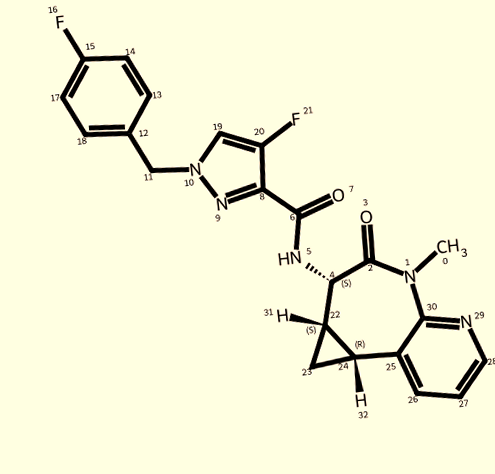 CN1C(=O)[C@@H](NC(=O)c2nn(Cc3ccc(F)cc3)cc2F)[C@H]2C[C@H]2c2cccnc21